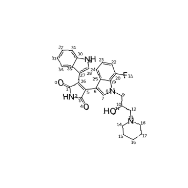 O=C1NC(=O)C(c2cn(CC(O)CN3CCCCC3)c3c(F)cccc23)=C1c1c[nH]c2ccccc12